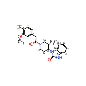 O=C(Cc1ccc(Cl)c(OC(F)(F)F)c1)N1CCC(n2c(=O)[nH]c3cccc(C(F)(F)F)c32)CC1